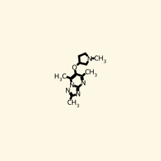 Cc1nc2nc(C)c(OC3CCN(C)C3)c(C)n2n1